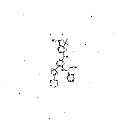 CC1(C)OB(O)c2ccc(Nc3ncc(-c4nc(N5CCOCC5)no4)c(N[C@H](CO)c4ccccc4)n3)nc21